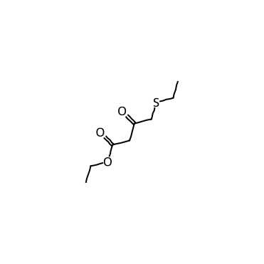 CCOC(=O)CC(=O)CSCC